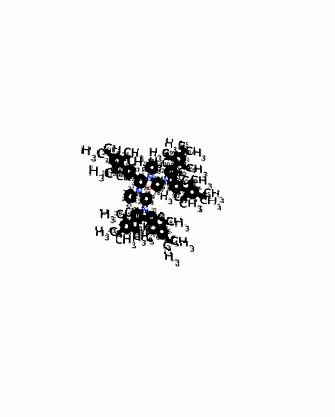 CC(C)c1cc(C(C)C)c(-c2ccc(-c3cc4c5c(c3)N(c3ccccc3)c3cc(-n6c7ccc(-c8c(C(C)C)cc(C(C)C)cc8C(C)C)cc7c7cc(-c8c(C(C)C)cc(C(C)C)cc8C(C)C)ccc76)ccc3B5c3ccc(-n5c6ccc(-c7c(C(C)C)cc(C(C)C)cc7C(C)C)cc6c6cc(-c7c(C(C)C)cc(C(C)C)cc7C(C)C)ccc65)cc3N4c3ccccc3)cc2)c(C(C)C)c1